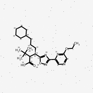 CCOc1cncc(-c2noc([C@H](CCCC3CCCCC3)C(C(=O)O)C(C)(C)C)n2)n1